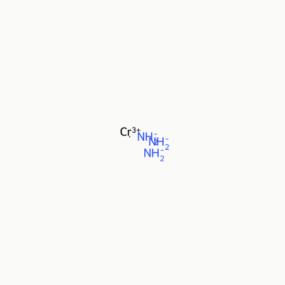 [Cr+3].[NH2-].[NH2-].[NH2-]